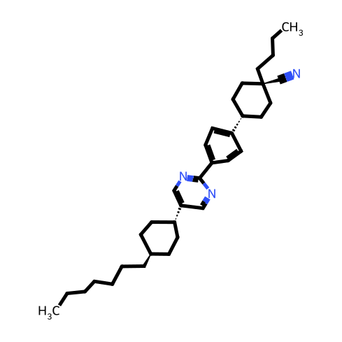 CCCCCCC[C@H]1CC[C@H](c2cnc(-c3ccc([C@H]4CC[C@@](C#N)(CCCC)CC4)cc3)nc2)CC1